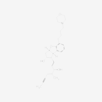 CC#CCC(C)[C@H](O)/C=C/[C@@H]1[C@H]2c3cccc(CCCCN4CCOCC4)c3O[C@H]2C[C@H]1O